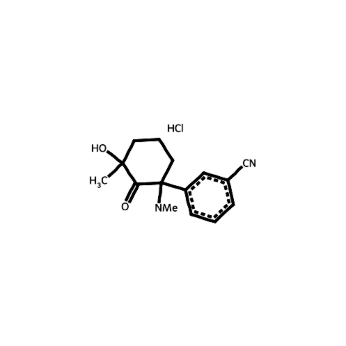 CNC1(c2cccc(C#N)c2)CCCC(C)(O)C1=O.Cl